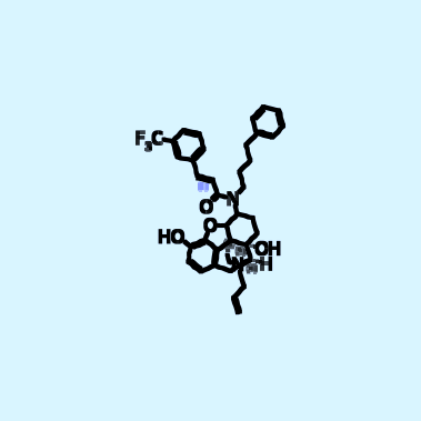 C=CCN1CC[C@]23c4c5ccc(O)c4OC2C(N(CCCCc2ccccc2)C(=O)/C=C/c2cccc(C(F)(F)F)c2)CC[C@@]3(O)[C@H]1C5